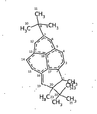 CC1c2ccc3cc(C(C)(C)C)cc4ccc(c2c34)=CC1(C)C(C)(C)C